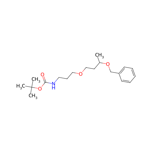 CC(CCOCCCNC(=O)OC(C)(C)C)OCc1ccccc1